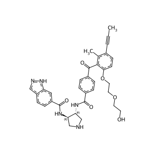 CC#Cc1ccc(OCCOCCO)c(C(=O)c2ccc(C(=O)N[C@@H]3CNC[C@H]3NC(=O)c3ccc4cn[nH]c4c3)cc2)c1C